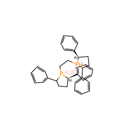 B[PH]1(CCP2C(c3ccccc3)CC[C@@H]2c2ccccc2)C(c2ccccc2)CC[C@@H]1c1ccccc1